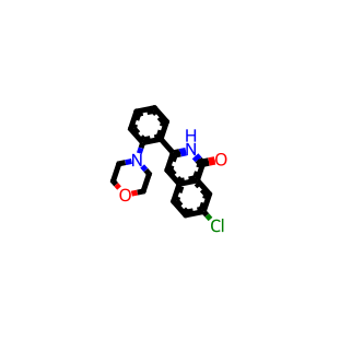 O=c1[nH]c(-c2ccccc2N2CCOCC2)cc2ccc(Cl)cc12